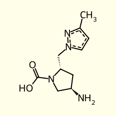 Cc1ccn(C[C@@H]2C[C@@H](N)CN2C(=O)O)n1